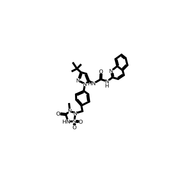 CN1C(=O)NS(=O)(=O)N1Cc1ccc(-n2nc(C(C)(C)C)cc2NC(=O)Nc2ccc3ccccc3n2)cc1